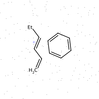 C=C/C=C/CC.c1ccccc1